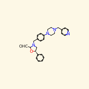 O=CC1O[C@H](c2ccccc2)CN1Cc1ccc(N2CCN(Cc3ccncc3)CC2)cc1